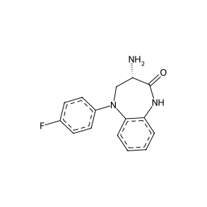 N[C@H]1CN(c2ccc(F)cc2)c2ccccc2NC1=O